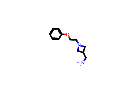 NCC1CN(CCOc2ccccc2)C1